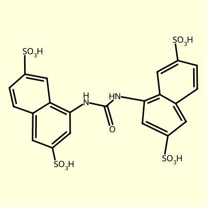 O=C(Nc1cc(S(=O)(=O)O)cc2ccc(S(=O)(=O)O)cc12)Nc1cc(S(=O)(=O)O)cc2ccc(S(=O)(=O)O)cc12